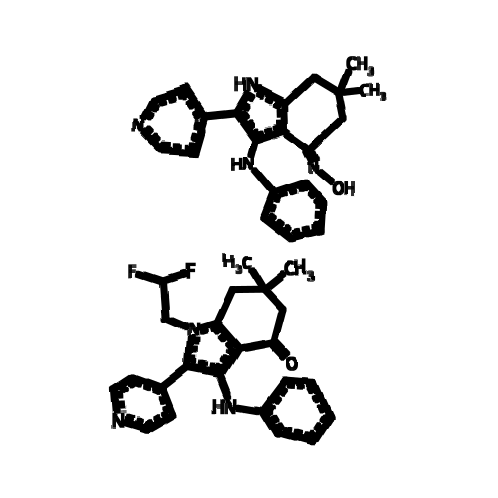 CC1(C)CC(=NO)c2c([nH]c(-c3ccncc3)c2Nc2ccccc2)C1.CC1(C)CC(=O)c2c(Nc3ccccc3)c(-c3ccncc3)n(CC(F)F)c2C1